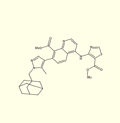 COC(=O)c1c(-c2cnn(CC34CC5CC(CC(C5)C3)C4)c2C)ccc2c(Nc3ncsc3C(=O)OC(C)(C)C)ccnc12